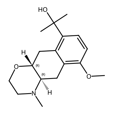 COc1ccc(C(C)(C)O)c2c1C[C@@H]1[C@@H](C2)OCCN1C